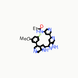 CCC(=O)Nc1cncc(-c2cc3c(-c4cc5c(-c6cc(F)cc(OC)c6)cncc5[nH]4)n[nH]c3cn2)c1